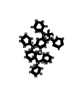 CC1(C)N(c2ccccc2)c2ccc(N(c3ccccc3)c3cccc(N(c4ccccc4)c4ccccc4)c3Cl)cc2N1c1ccccc1